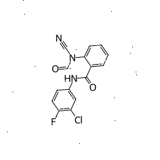 N#CN([C]=O)c1ccccc1C(=O)Nc1ccc(F)c(Cl)c1